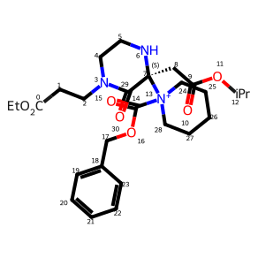 CCOC(=O)CCN1CCN[C@@](CC(=O)OC(C)C)([N+]2(C(=O)OCc3ccccc3)CCCCC2)C1=O